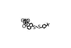 CC(C)(C)c1ccc(CSCCSc2ccc3c4c(cccc24)C(=O)N(OS(C)(=O)=O)C3=O)cc1